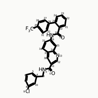 O=C(NCc1cccc(Cl)c1)c1cnc2cc(NC(=O)c3ccccc3-c3ccc(C(F)(F)F)cc3)ccc2c1